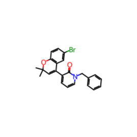 CC1(C)C=C(c2cccn(Cc3ccccc3)c2=O)c2cc(Br)ccc2O1